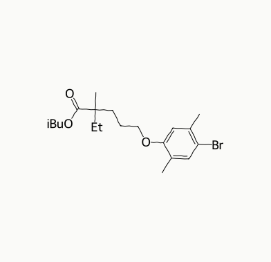 CCC(C)(CCCOc1cc(C)c(Br)cc1C)C(=O)OCC(C)C